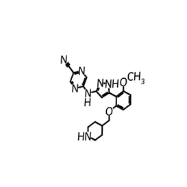 COc1cccc(OCC2CCNCC2)c1-c1cc(Nc2cnc(C#N)cn2)n[nH]1